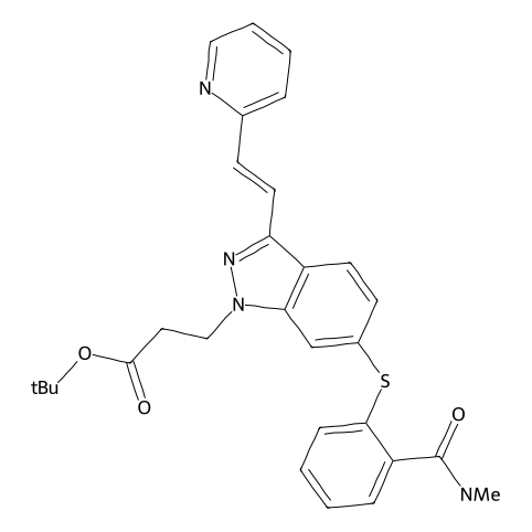 CNC(=O)c1ccccc1Sc1ccc2c(/C=C/c3ccccn3)nn(CCC(=O)OC(C)(C)C)c2c1